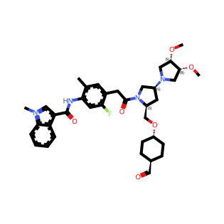 CO[C@H]1CN([C@H]2C[C@@H](CO[C@H]3CC[C@H](C=O)CC3)N(C(=O)Cc3cc(C)c(NC(=O)c4cn(C)c5ccccc45)cc3F)C2)C[C@H]1OC